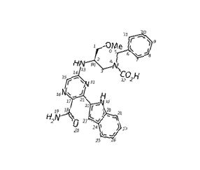 COC[C@@H](CN(Cc1ccccc1)C(=O)O)Nc1cnc(C(N)=O)c(-c2cc3ccccc3[nH]2)n1